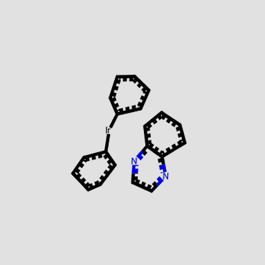 c1cc[c]([Ir][c]2ccccc2)cc1.c1ccc2nccnc2c1